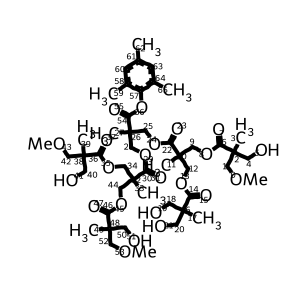 COCC(C)(CO)C(=O)OCC(C)(COC(=O)C(C)(CO)CO)C(=O)OCC(C)(COC(=O)C(C)(COC(=O)C(C)(CO)COC)COC(=O)C(C)(CO)COC)C(=O)Oc1c(C)cc(C)cc1C